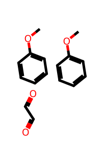 COc1ccccc1.COc1ccccc1.O=CC=O